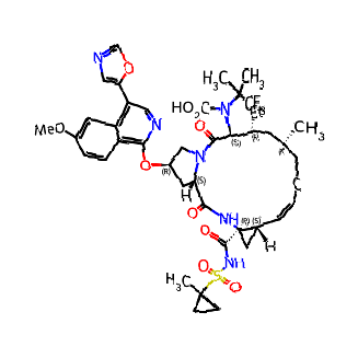 CC[C@@H]1C[C@H](C)CCC=C[C@@H]2C[C@@]2(C(=O)NS(=O)(=O)C2(C)CC2)NC(=O)[C@@H]2C[C@@H](Oc3ncc(-c4cnco4)c4cc(OC)ccc34)CN2C(=O)[C@H]1N(C(=O)O)C(C)(C)C(F)(F)F